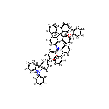 c1ccc(-c2ccccc2N(c2ccc(-c3ccc4c(c3)c3ccccc3n4-c3ccccc3)cc2)c2cccc3c2-c2ccccc2C32c3ccccc3-c3ccc4c(oc5ccccc54)c32)cc1